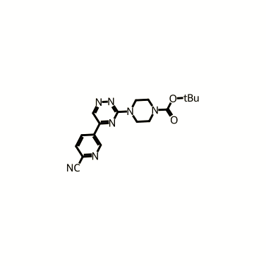 CC(C)(C)OC(=O)N1CCN(c2nncc(-c3ccc(C#N)nc3)n2)CC1